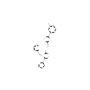 Clc1cccc(-c2nc(CSc3nnc(-c4cccs4)n3Cc3ccco3)no2)c1